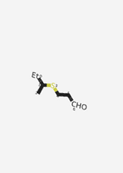 CCC(C)SCCC=O